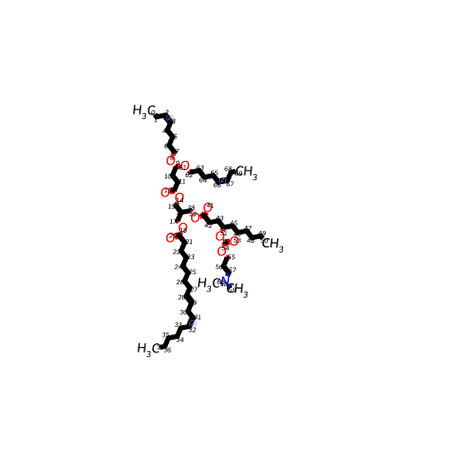 CC/C=C\CCCCOC(CCC(=O)OCC(COC(=O)CCCCCCCC=CC/C=C\CCCCC)COC(=O)CCC(CCCCCC)OC(=O)OCCCN(C)C)OCCCC/C=C\CC